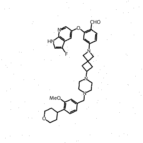 COc1cc(CN2CCN(C3CC4(C3)CN(c3ccc(C=O)c(Oc5cnc6[nH]cc(F)c6c5)c3)C4)CC2)ccc1C1CCOCC1